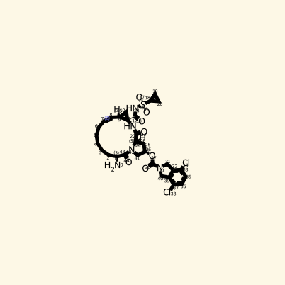 N[C@H]1CCCCC/C=C\[C@@H]2C[C@@]2(C(=O)NS(=O)(=O)C2CC2)NC(=O)[C@@H]2C[C@@H](OC(=O)N3Cc4c(Cl)ccc(Cl)c4C3)CN2C1=O